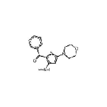 CNc1cc(N2CCOCC2)sc1C(=O)c1ccccc1